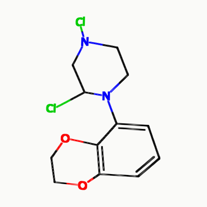 ClC1CN(Cl)CCN1c1cccc2c1OCCO2